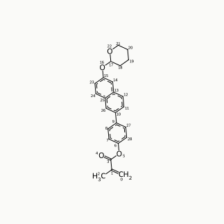 C=C(C)C(=O)Oc1ccc(-c2ccc3cc(OC4CCCCO4)ccc3c2)cc1